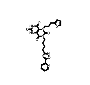 O=c1[nH]c(=O)c2c([nH]1)c(=O)n(CCCCc1noc(-c3ccccn3)n1)c(=O)n2CCCc1cccs1